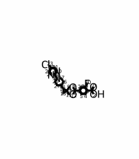 O=C(O)c1ccc(C2OCC3(CO2)CC3C2CCN(c3ncc(Cl)cn3)CC2)cc1F